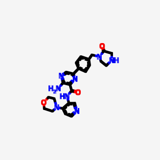 Nc1ncc(-c2ccc(CN3CCNCC3=O)cc2)nc1C(=O)Nc1cnccc1N1CCOCC1